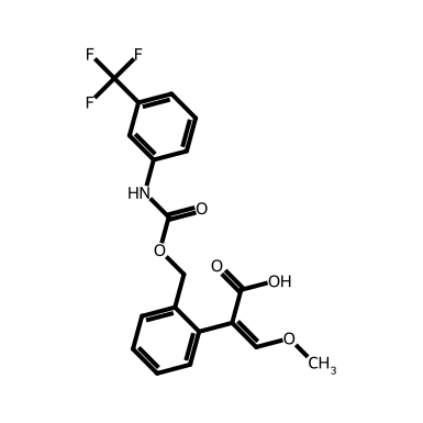 COC=C(C(=O)O)c1ccccc1COC(=O)Nc1cccc(C(F)(F)F)c1